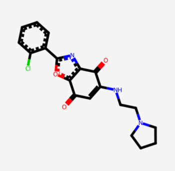 O=C1C(NCCN2CCCC2)=CC(=O)c2oc(-c3ccccc3Cl)nc21